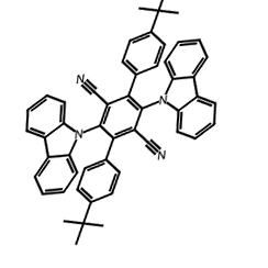 CC(C)(C)c1ccc(-c2c(C#N)c(-n3c4ccccc4c4ccccc43)c(-c3ccc(C(C)(C)C)cc3)c(C#N)c2-n2c3ccccc3c3ccccc32)cc1